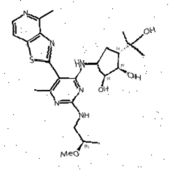 CO[C@H](C)CNc1nc(C)c(-c2nc3c(C)nccc3s2)c(NC2C[C@H](C(C)(C)O)[C@@H](O)[C@H]2O)n1